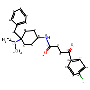 CN(C)C1(Cc2ccccc2)CCC(NC(=O)CCC(=O)c2ccc(F)cc2)CC1